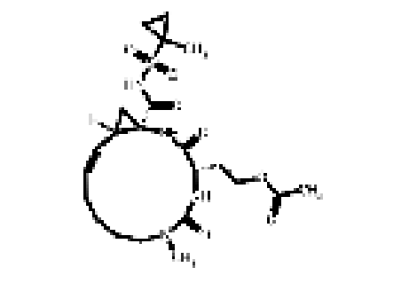 CC(=O)OCC[C@@H]1NC(=O)N(C)CCCC/C=C\[C@@H]2C[C@@]2(C(=O)NS(=O)(=O)C2(C)CC2)NC1=O